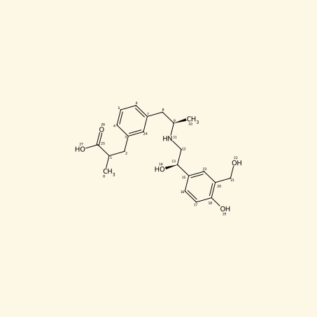 CC(Cc1cccc(C[C@@H](C)NC[C@H](O)c2ccc(O)c(CO)c2)c1)C(=O)O